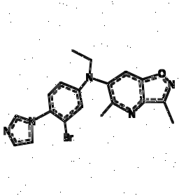 CCN(c1ccc(-n2ccnc2)c(Br)c1)c1cc2onc(C)c2nc1C